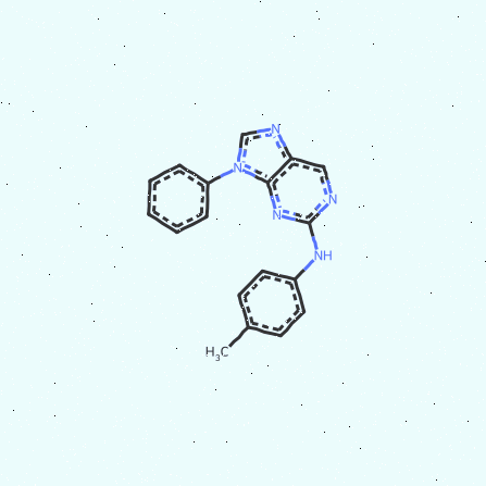 Cc1ccc(Nc2ncc3ncn(-c4ccccc4)c3n2)cc1